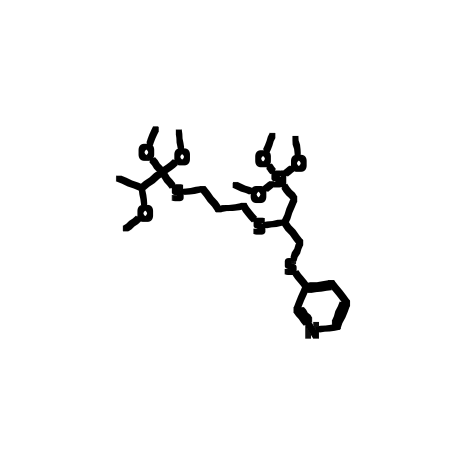 COC(C)C(OC)(OC)SCCCSC(CSc1cccnc1)C[Si](OC)(OC)OC